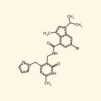 Cc1cc(Cn2cccn2)c(CNC(=O)c2cc(Br)cc3c2c(C)cn3C(C)C)c(=O)[nH]1